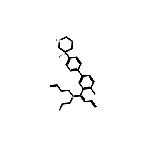 C=C/C=C(\c1cc(-c2ccc([C@]3(F)CCCNC3)cc2)ccc1C)N(CCC)CCC=C